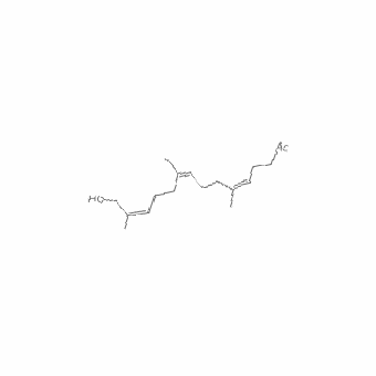 CC(=O)CCC=C(C)CCC=C(C)CCC=C(C)CO